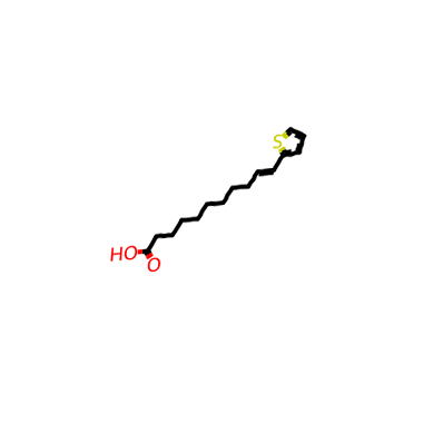 O=C(O)CCCCCCCCC=Cc1cccs1